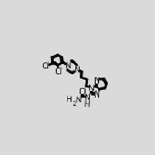 NC(=O)Nc1nc2cccnc2n1CCCCN1CCN(c2cccc(Cl)c2Cl)CC1